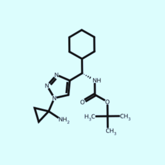 CC(C)(C)OC(=O)N[C@H](c1cn(C2(N)CC2)nn1)C1CCCCC1